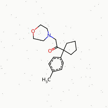 Cc1ccc(C2(C(=O)CN3CCOCC3)CCCC2)cc1